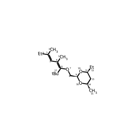 CC/C(C)=C/C(C)=C(/OC[C@H]1O[C@@H](CC)C[C@@H](C)O1)C(C)(C)C